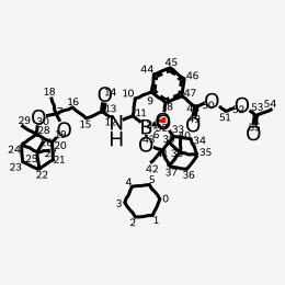 C1CCCCC1.COc1c(CC(NC(=O)CCC2(C)OC3CC4CC(C4(C)C)C3(C)O2)B2OC3CC4CC(C4(C)C)C3(C)O2)cccc1C(=O)OCOC(C)=O